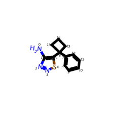 Nc1nnsc1C1(c2ccccc2)CCC1